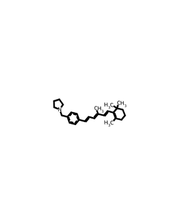 CC1=C(/C=C/C(C)=C/C=C/c2ccc(CN3CCCC3)cc2)C(C)(C)CCC1